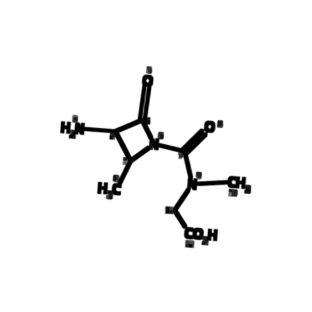 CC1C(N)C(=O)N1C(=O)N(C)CC(=O)O